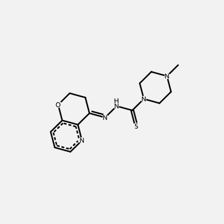 CN1CCN(C(=S)NN=C2CCOc3cccnc32)CC1